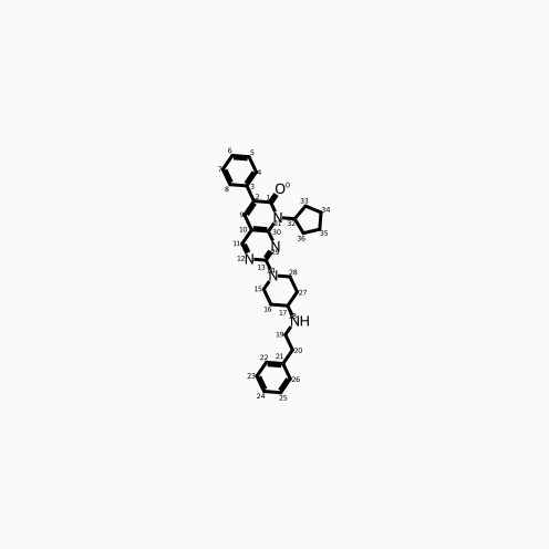 O=c1c(-c2ccccc2)cc2cnc(N3CCC(NCCc4ccccc4)CC3)nc2n1C1CCCC1